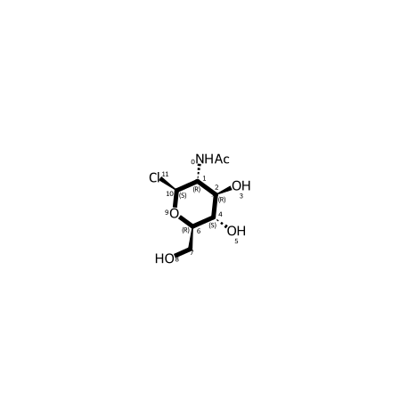 CC(=O)N[C@@H]1[C@@H](O)[C@H](O)[C@@H](CO)O[C@H]1Cl